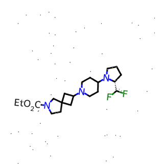 CCOC(=O)N1CCC2(CC(N3CCC(N4CCC[C@@H]4C(F)F)CC3)C2)C1